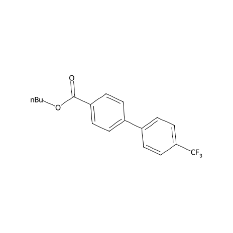 CCCCOC(=O)c1ccc(-c2ccc(C(F)(F)F)cc2)cc1